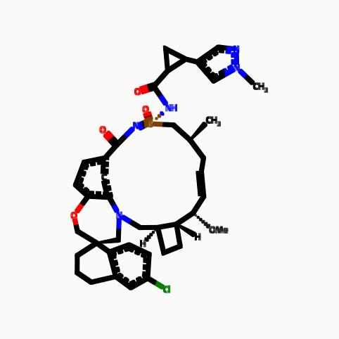 CO[C@H]1/C=C/C[C@H](C)C[S@@](=O)(NC(=O)C2CC2c2cnn(C)c2)=NC(=O)c2ccc3c(c2)N(C[C@@H]2CC[C@H]21)C[C@@]1(CCCc2cc(Cl)ccc21)CO3